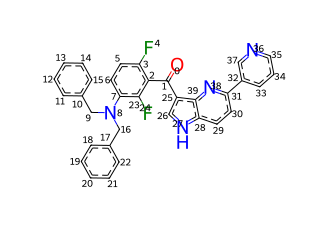 O=C(c1c(F)ccc(N(Cc2ccccc2)Cc2ccccc2)c1F)c1c[nH]c2ccc(-c3cccnc3)nc12